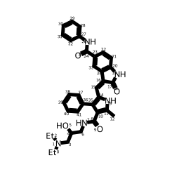 CCN(CC)CC(O)CNC(=O)c1c(C)[nH]c(/C=C2\C(=O)Nc3ccc(C(=O)Nc4ccccc4)cc32)c1-c1ccccc1